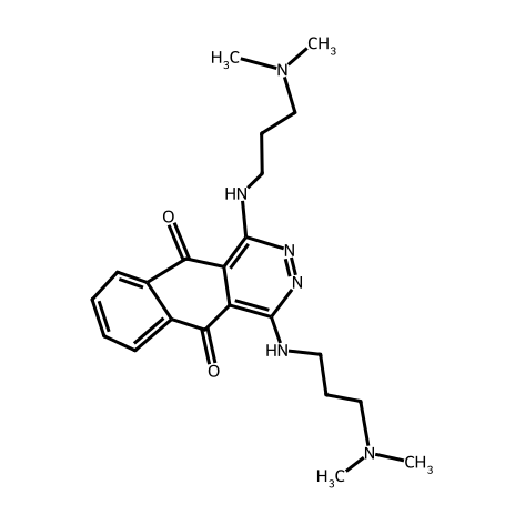 CN(C)CCCNc1nnc(NCCCN(C)C)c2c1C(=O)c1ccccc1C2=O